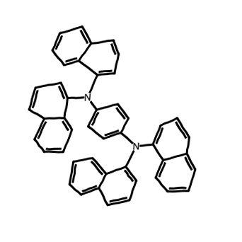 c1ccc2c(N(c3ccc(N(c4cccc5ccccc45)c4cccc5ccccc45)cc3)c3cccc4ccccc34)cccc2c1